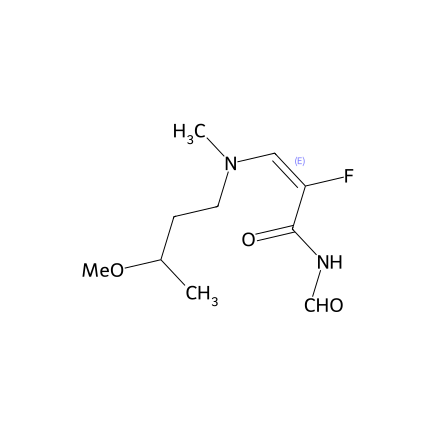 COC(C)CCN(C)/C=C(/F)C(=O)NC=O